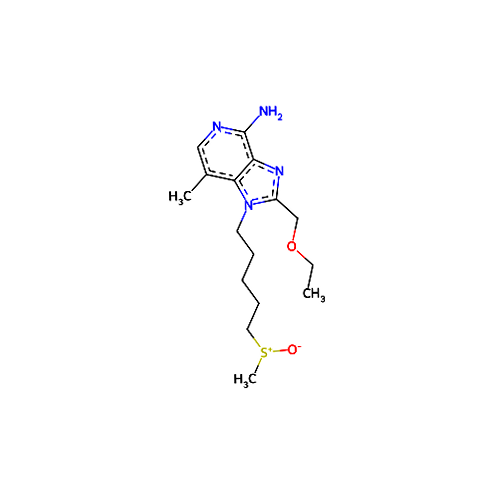 CCOCc1nc2c(N)ncc(C)c2n1CCCCC[S+](C)[O-]